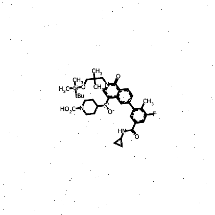 Cc1c(F)cc(C(=O)NC2CC2)cc1-c1ccc2c(=O)n(CC(C)(C)CO[Si](C)(C)C(C)(C)C)cc([S+]([O-])C3CCN(C(=O)O)CC3)c2c1